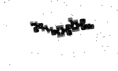 C=CC(=O)OCCCCOc1ccc(C(=O)Oc2ccc(C(=O)OC)cc2C)cc1